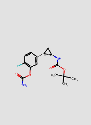 CC(C)(C)OC(=O)N[C@@H]1C[C@H]1c1ccc(F)c(OC(N)=O)c1